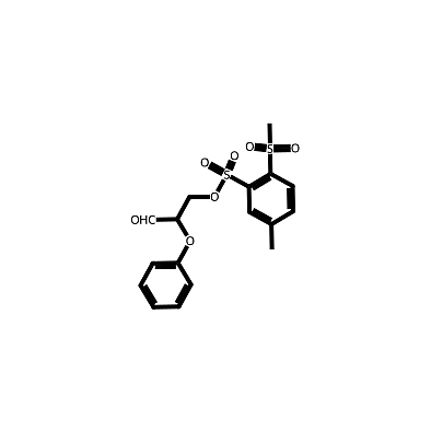 Cc1ccc(S(C)(=O)=O)c(S(=O)(=O)OCC(C=O)Oc2ccccc2)c1